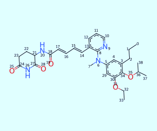 CCCc1cc(N(C)c2ncccc2/C=C/C=C/C(=O)NC2CCC(=O)NC2=O)cc(OCC)c1OC(C)C